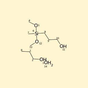 CCCO.CO[Si](C)(CCCO)OC.O